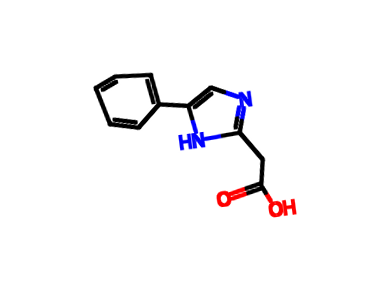 O=C(O)Cc1ncc(-c2ccccc2)[nH]1